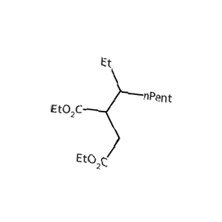 CCCCCC(CC)C(CC(=O)OCC)C(=O)OCC